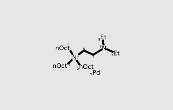 CCCCCCCC[N+](CCCCCCCC)(CCCCCCCC)CCN(CC)CC.[Pd]